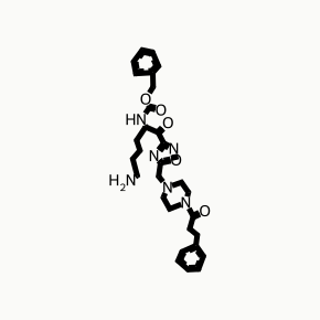 NCCCCC(NC(=O)OCc1ccccc1)C(=O)c1noc(CN2CCN(C(=O)CCc3ccccc3)CC2)n1